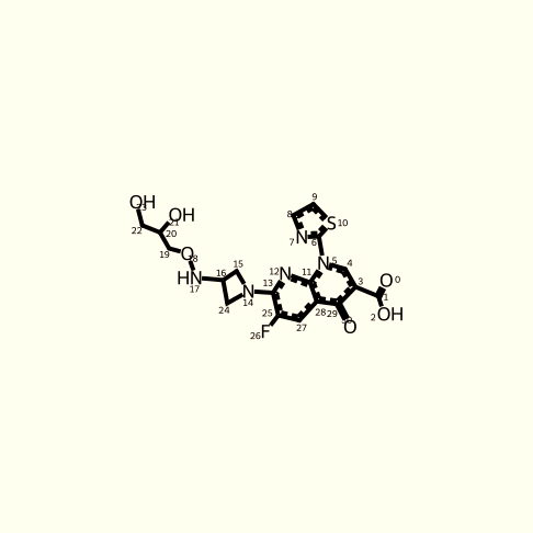 O=C(O)c1cn(-c2nccs2)c2nc(N3CC(NOCC(O)CO)C3)c(F)cc2c1=O